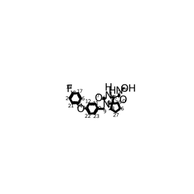 O=C(NO)[C@@H]1NC(=O)N(Cc2ccc(Oc3ccc(F)cc3)cc2)C12CCCC2